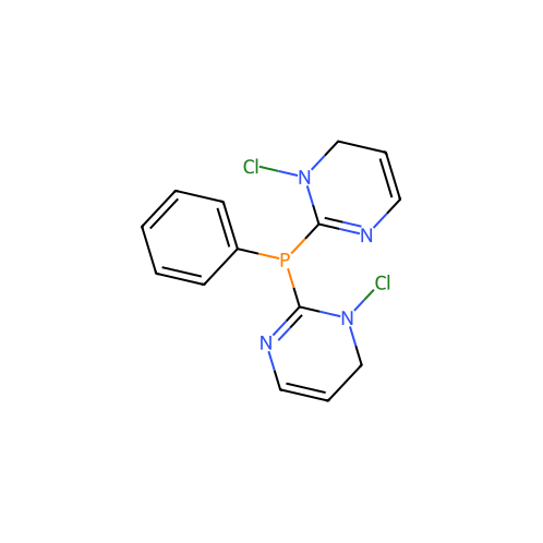 ClN1CC=CN=C1P(C1=NC=CCN1Cl)c1ccccc1